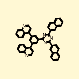 c1ccc2cc(-c3nc(-c4cc(-c5ccnc6ccccc56)cc(-c5ccnc6ccccc56)c4)nc(-c4ccc5ccccc5c4)n3)ccc2c1